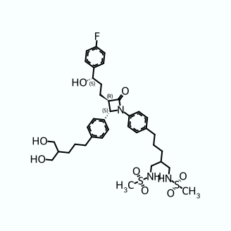 CS(=O)(=O)NCC(CCCc1ccc(N2C(=O)[C@H](CC[C@H](O)c3ccc(F)cc3)[C@H]2c2ccc(CCCC(CO)CO)cc2)cc1)CNS(C)(=O)=O